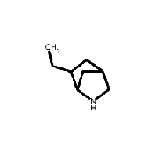 CCC1CC2CNC1C2